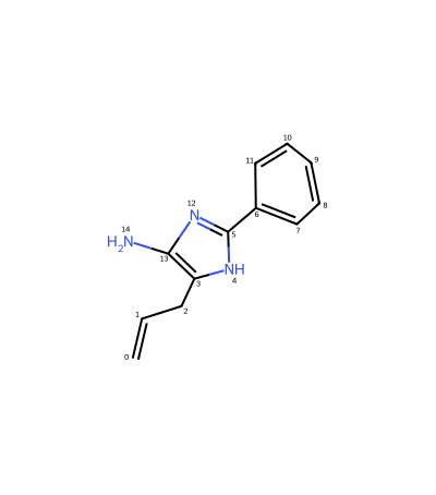 C=CCc1[nH]c(-c2ccccc2)nc1N